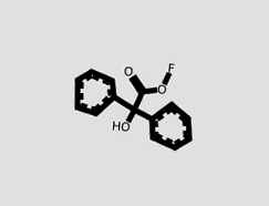 O=C(OF)C(O)(c1ccccc1)c1ccccc1